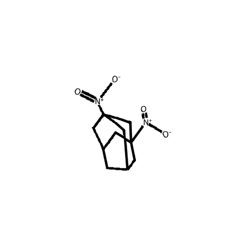 O=[N+]([O-])C12CC3CC(C1)CC([N+](=O)[O-])(C3)C2